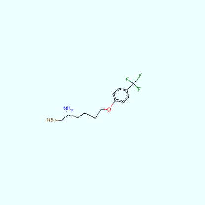 N[C@@H](CS)CCCCOc1ccc(C(F)(F)F)cc1